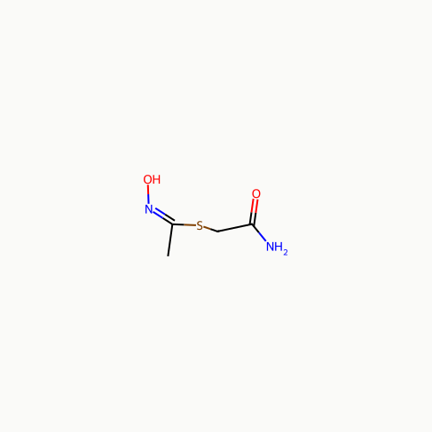 C/C(=N/O)SCC(N)=O